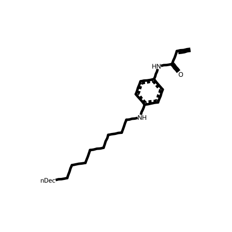 C=CC(=O)Nc1ccc(NCCCCCCCCCCCCCCCCCC)cc1